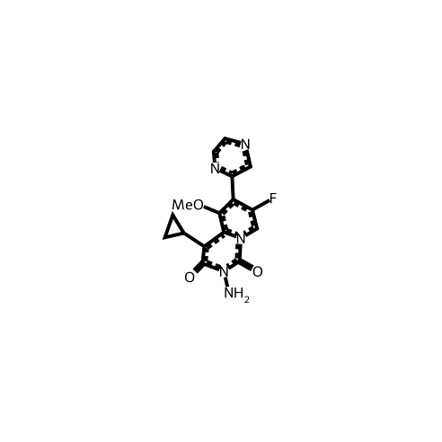 COc1c(-c2cnccn2)c(F)cn2c(=O)n(N)c(=O)c(C3CC3)c12